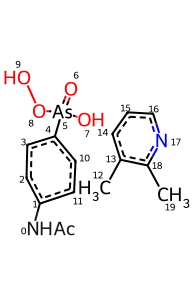 CC(=O)Nc1ccc([As](=O)(O)OO)cc1.Cc1cccnc1C